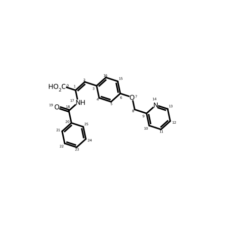 O=C(O)/C(=C/c1ccc(OCc2ccccn2)cc1)NC(=O)c1ccccc1